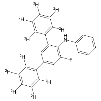 [2H]c1c([2H])c([2H])c(-c2cc(F)c(Nc3ccccc3)c(-c3c([2H])c([2H])c([2H])c([2H])c3[2H])c2)c([2H])c1[2H]